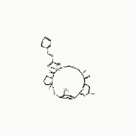 Cc1cc2nc(n1)-c1ccc(c([N+](=O)[O-])c1)OC[C@@H]1CCCN1C(=O)[C@H](NC(=O)OCc1ccccc1)CCCCN(C)C2=O